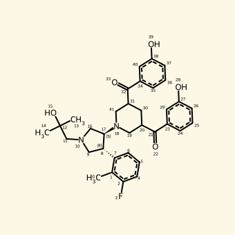 Cc1c(F)cccc1[C@@H]1CN(CC(C)(C)O)C[C@H]1N1CC(C(=O)c2cccc(O)c2)CC(C(=O)c2cccc(O)c2)C1